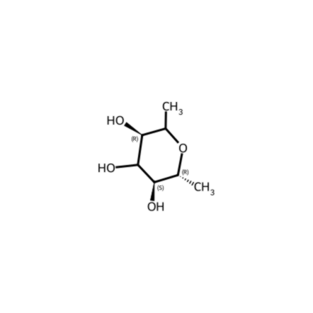 CC1O[C@H](C)[C@@H](O)C(O)[C@H]1O